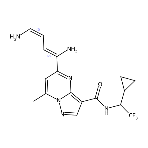 Cc1cc(/C(N)=C/C=C\N)nc2c(C(=O)NC(C3CC3)C(F)(F)F)cnn12